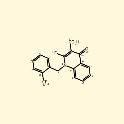 O=C(O)c1c(F)n(Cc2ccccc2C(F)(F)F)c2ccccc2c1=O